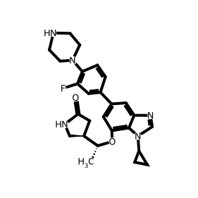 C[C@@H](Oc1cc(-c2ccc(N3CCNCC3)c(F)c2)cc2ncn(C3CC3)c12)[C@H]1CNC(=O)C1